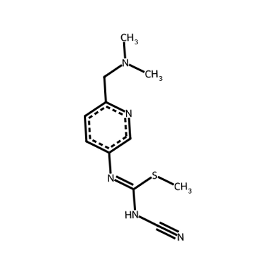 CS/C(=N\c1ccc(CN(C)C)nc1)NC#N